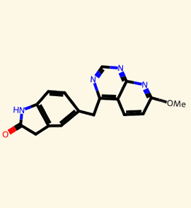 COc1ccc2c(Cc3ccc4c(c3)CC(=O)N4)ncnc2n1